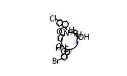 O=C1NS(=O)(=O)[C@H](Cc2ccc(Br)cc2)CC/C=C/[C@H](O)[C@@H]2CC[C@H]2CN2C[C@@]3(CCCc4cc(Cl)ccc43)COc3ccc1cc32